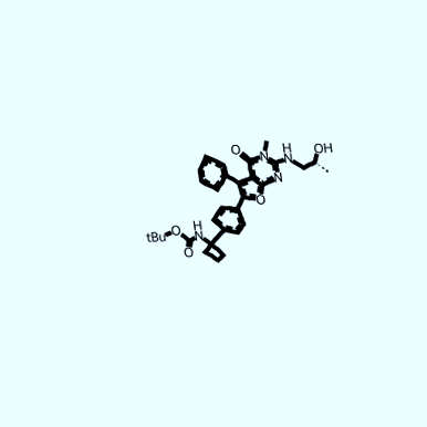 C[C@@H](O)CNc1nc2oc(-c3ccc(C4(NC(=O)OC(C)(C)C)CCC4)cc3)c(-c3ccccc3)c2c(=O)n1C